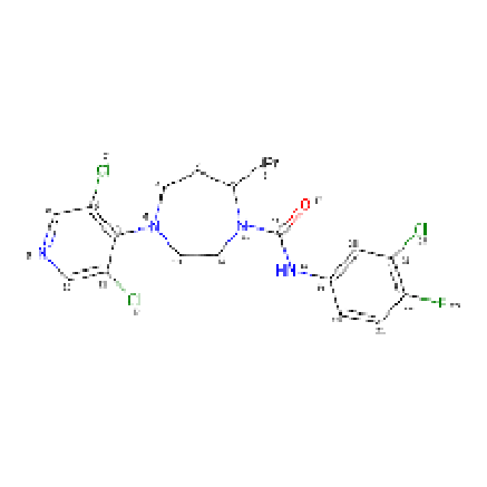 CC(C)C1CCN(c2c(Cl)cncc2Cl)CCN1C(=O)Nc1ccc(F)c(Cl)c1